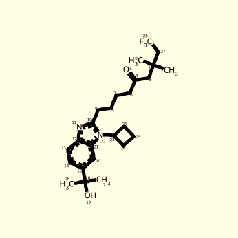 CC(C)(CC(=O)CCCCc1nc2ccc(C(C)(C)O)cc2n1C1CCC1)CC(F)(F)F